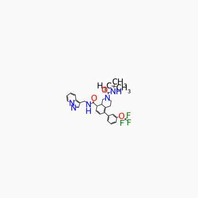 CC(C)(C)NC(=O)N1CCC2=C(c3cccc(OC(F)(F)F)c3)C=CC(C(=O)NCc3cnn4ccccc34)C2C1